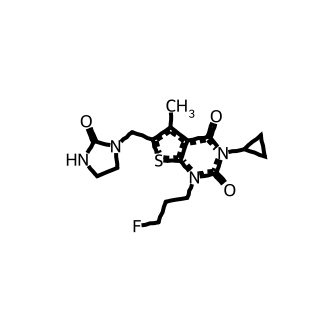 Cc1c(CN2CCNC2=O)sc2c1c(=O)n(C1CC1)c(=O)n2CCCF